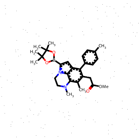 COC(=O)Cc1c(C)c2c3c(cc(B4OC(C)(C)C(C)(C)O4)n3CCN2C)c1-c1ccc(C)cc1